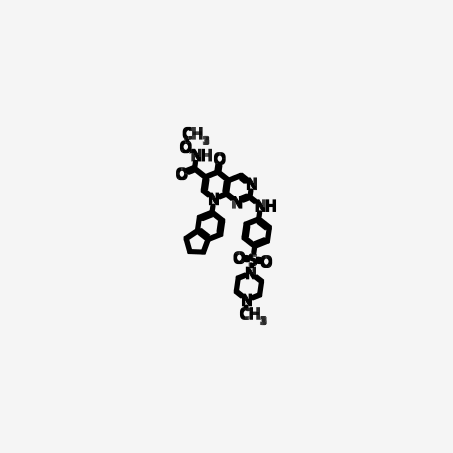 CONC(=O)c1cn(-c2ccc3c(c2)CCC3)c2nc(Nc3ccc(S(=O)(=O)N4CCN(C)CC4)cc3)ncc2c1=O